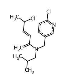 C=C(/C=C/C(C)Cl)N(Cc1ccc(Cl)nc1)CC(C)C